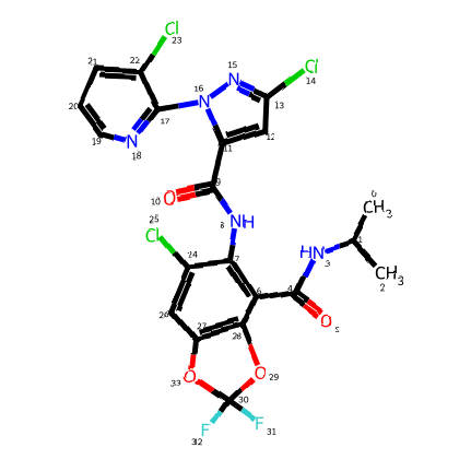 CC(C)NC(=O)c1c(NC(=O)c2cc(Cl)nn2-c2ncccc2Cl)c(Cl)cc2c1OC(F)(F)O2